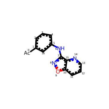 CC(=O)c1cccc(Nc2noc3cccnc23)c1